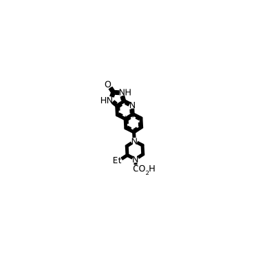 CCC1CN(c2ccc3nc4[nH]c(=O)[nH]c4cc3c2)CCN1C(=O)O